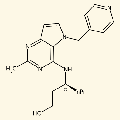 CCC[C@@H](CCO)Nc1nc(C)nc2ccn(Cc3ccncc3)c12